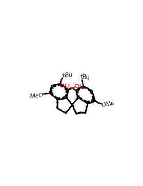 COc1cc(C(C)(C)C)c(O)c2c1CCC21CCc2c(OC)cc(C(C)(C)C)c(O)c21